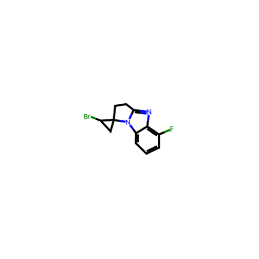 Fc1cccc2c1nc1n2C2(CC1)CC2Br